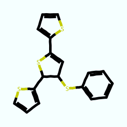 C1=C(c2cccs2)SC(c2cccs2)C1Sc1ccccc1